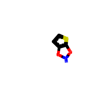 c1cc2c(s1)ONO2